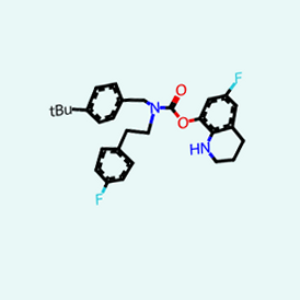 CC(C)(C)c1ccc(CN(CCc2ccc(F)cc2)C(=O)Oc2cc(F)cc3c2NCCC3)cc1